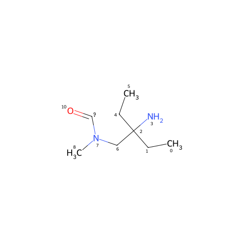 CCC(N)(CC)CN(C)[C]=O